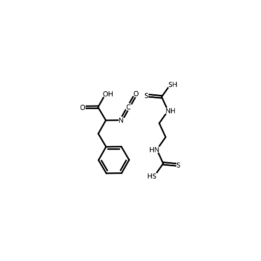 O=C=NC(Cc1ccccc1)C(=O)O.S=C(S)NCCNC(=S)S